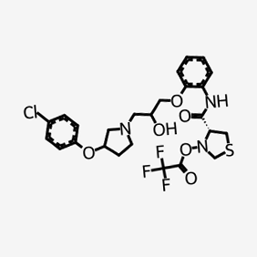 O=C(Nc1ccccc1OCC(O)CN1CCC(Oc2ccc(Cl)cc2)C1)[C@@H]1CSCN1OC(=O)C(F)(F)F